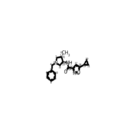 C[C@H]1CN(Cc2ccccc2)C[C@@H]1NC(=O)c1cc(C2CC2)on1